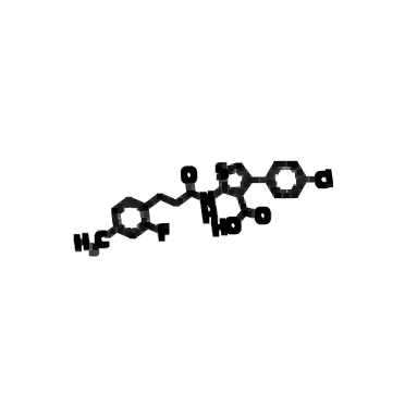 Cc1ccc(CCC(=O)Nc2scc(-c3ccc(Cl)cc3)c2C(=O)O)c(F)c1